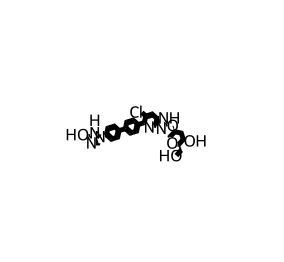 OC[C@H]1OC[C@H](Oc2nc3nc(-c4ccc(-c5ccc(N6C=NC(O)N6)cc5)cc4)c(Cl)cc3[nH]2)C[C@@H]1O